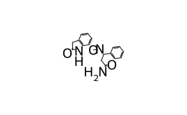 NC(=O)C/C(=N\Oc1cccc2c1NC(=O)C2)c1ccccc1